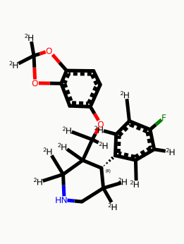 [2H]c1c([2H])c([C@@H]2C([2H])([2H])CNC([2H])([2H])C2([2H])C([2H])([2H])Oc2ccc3c(c2)OC([2H])([2H])O3)c([2H])c([2H])c1F